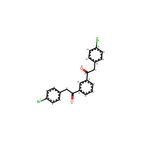 O=C(Cc1ccc(Br)cc1)c1cccc(C(=O)Cc2ccc(Br)cc2)c1